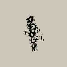 C[C@H]1CC(n2cnnc2)CCN1c1ccc(CN2[C@@H](C)CC[C@H](c3ccccc3)S2(=O)=O)c(F)c1